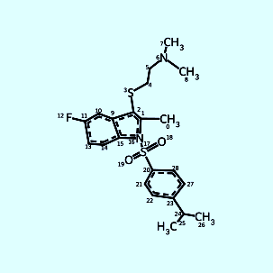 Cc1c(SCCN(C)C)c2cc(F)ccc2n1S(=O)(=O)c1ccc(C(C)C)cc1